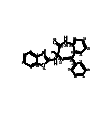 CC1(Nc2nc3ccccc3o2)N=C(c2ccccc2)c2ccccc2NC1=O